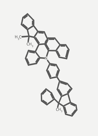 CC1(C)c2ccccc2-c2cccc(-c3ccccc3N(c3ccc(-c4ccc5c(c4)C(C)(c4ccccc4)c4ccccc4-5)cc3)c3cccc4ccccc34)c21